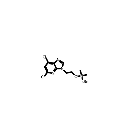 CC(C)(C)[Si](C)(C)OCCn1cnc2c(Cl)cc(Cl)nc21